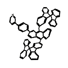 c1cncc(-c2ccc(-c3ccc4c(-c5ccc6c(c5)C5(c7ccccc7-c7ccccc75)c5ccccc5-6)c5ccccc5c(-c5ccc6c(c5)C5(c7ccccc7-c7ccccc75)c5ccccc5-6)c4c3)cc2)c1